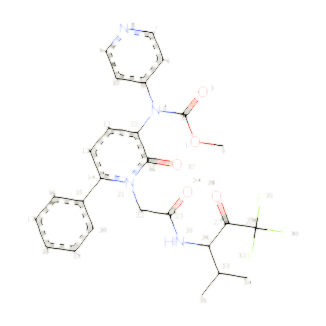 COC(=O)N(c1ccncc1)c1ccc(-c2ccccc2)n(CC(=O)NC(C(=O)C(F)(F)F)C(C)C)c1=O